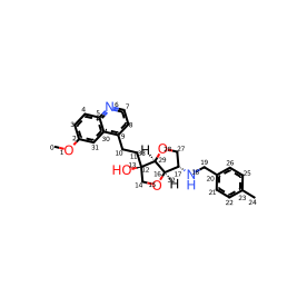 COc1ccc2nccc(CC[C@@]3(O)CO[C@@H]4[C@@H](NCc5ccc(C)cc5)CO[C@@H]43)c2c1